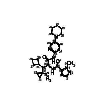 Cn1nccc1C(=O)N[C@H](C(=O)Nc1ccc(N2CCCCC2)cn1)C(C1CCC1)C1(C)CC1